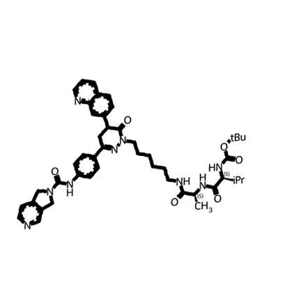 CC(C)[C@H](NC(=O)OC(C)(C)C)C(=O)N[C@@H](C)C(=O)NCCCCCCN1N=C(c2ccc(NC(=O)N3Cc4ccncc4C3)cc2)CC(c2ccc3cccnc3c2)C1=O